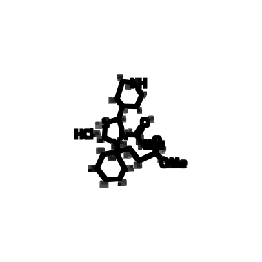 CNC(=O)N1C(C2CCNCC2)SCN1C1(CCC(=O)OC)CCCCC1.Cl